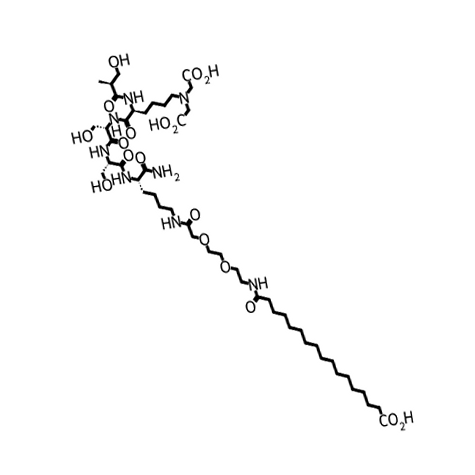 C[C@@H](CO)C(=O)N[C@@H](CCCCN(CC(=O)O)CC(=O)O)C(=O)N[C@@H](CO)C(=O)N[C@@H](CO)C(=O)N[C@@H](CCCCNC(=O)COCCOCCNC(=O)CCCCCCCCCCCCCCCC(=O)O)C(N)=O